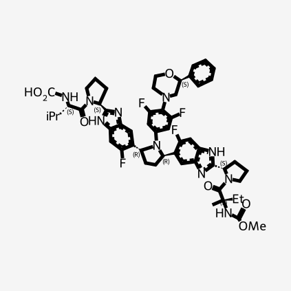 CC[C@](C)(NC(=O)OC)C(=O)N1CCC[C@H]1c1nc2cc([C@H]3CC[C@H](c4cc5nc([C@@H]6CCCN6C(=O)[C@@H](NC(=O)O)C(C)C)[nH]c5cc4F)N3c3cc(F)c(N4CCO[C@@H](c5ccccc5)C4)c(F)c3)c(F)cc2[nH]1